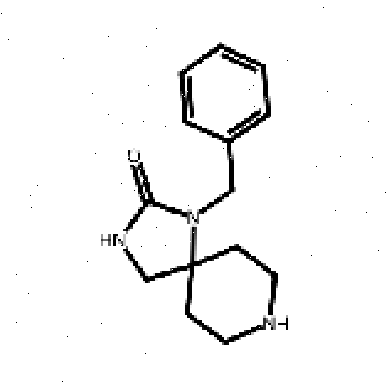 O=C1NCC2(CCNCC2)N1Cc1ccccc1